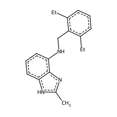 CCc1cccc(CC)c1CNc1cccc2[nH]c(C)nc12